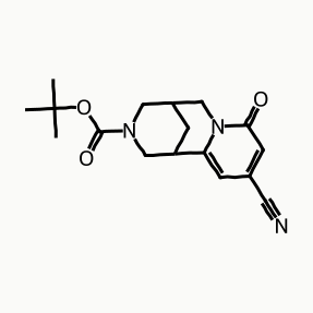 CC(C)(C)OC(=O)N1CC2CC(C1)c1cc(C#N)cc(=O)n1C2